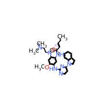 CC/C=C/C(=O)Nc1cc(Nc2nccc(-n3ccc4ccccc43)n2)c(OC)cc1N(C)CCN(C)C